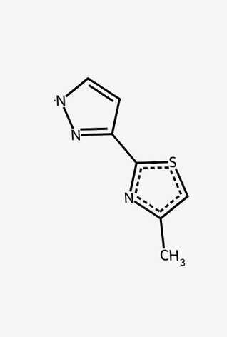 Cc1csc(C2=N[N]C=C2)n1